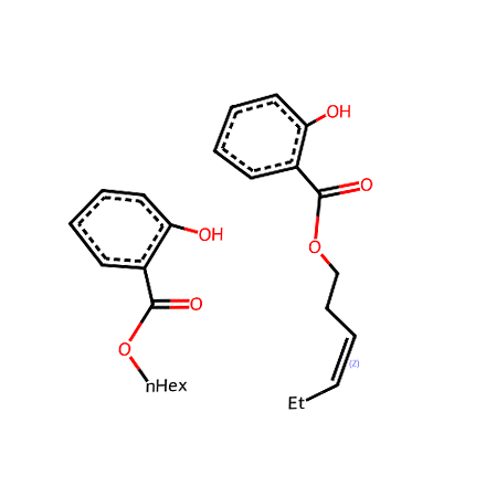 CC/C=C\CCOC(=O)c1ccccc1O.CCCCCCOC(=O)c1ccccc1O